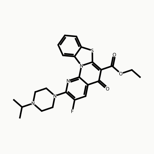 CCOC(=O)c1c(=O)c2cc(F)c(N3CCN(C(C)C)CC3)nc2n2c1sc1ccccc12